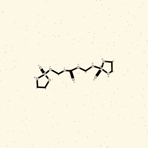 O=C(OCOP1(=O)OCCO1)OCOP1(=O)OCCO1